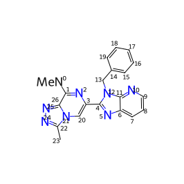 CNc1nc(-c2nc3cccnc3n2Cc2ccccc2)cn2c(C)nnc12